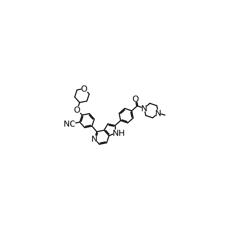 CN1CCN(C(=O)c2ccc(-c3cc4c(-c5ccc(OC6CCOCC6)c(C#N)c5)nccc4[nH]3)cc2)CC1